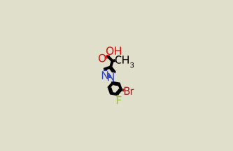 CC(C(=O)O)c1cnn(-c2ccc(F)c(Br)c2)c1